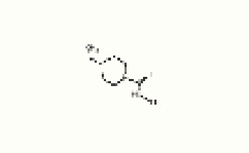 [CH2]CN1CCN(C(=O)NC)CC1